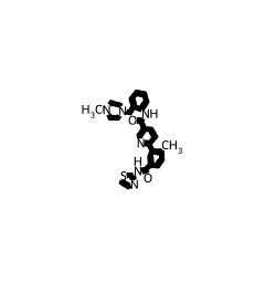 Cc1ccc(C(=O)Nc2nccs2)cc1-c1ccc(C(=O)Nc2ccccc2CN2CCN(C)CC2)cn1